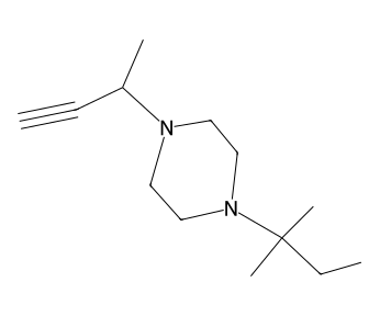 C#CC(C)N1CCN(C(C)(C)CC)CC1